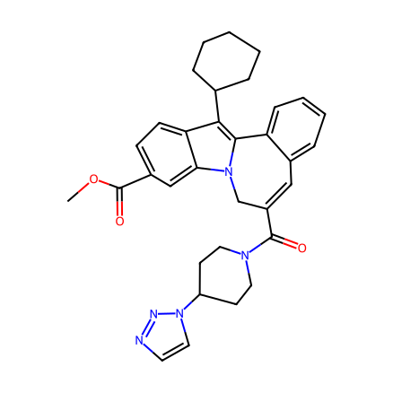 COC(=O)c1ccc2c(C3CCCCC3)c3n(c2c1)CC(C(=O)N1CCC(n2ccnn2)CC1)=Cc1ccccc1-3